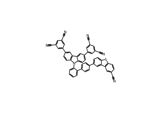 N#Cc1cc(C#N)cc(-c2ccc3c(c2)c2cc(-c4cc(C#N)cc(C#N)c4)ccc2n3-c2ccccc2-c2ccc(-c3ccc4sc5ccc(C#N)cc5c4c3)cc2)c1